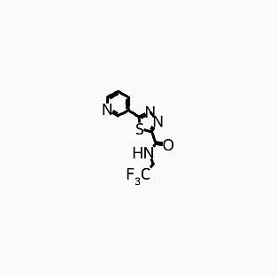 O=C(NCC(F)(F)F)c1nnc(-c2cccnc2)s1